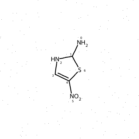 NC1NC=C([N+](=O)[O-])S1